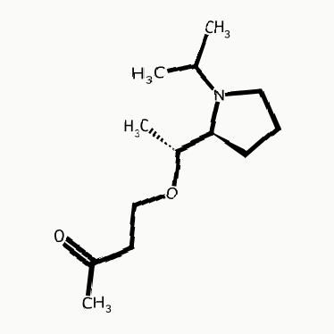 CC(=O)CCO[C@H](C)[C@@H]1CCCN1C(C)C